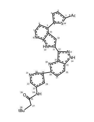 CC(=O)c1ccc(-c2ccnc3[nH]c(-c4n[nH]c5ccc(-c6cncc(NC(=O)CC(C)(C)C)c6)nc45)cc23)s1